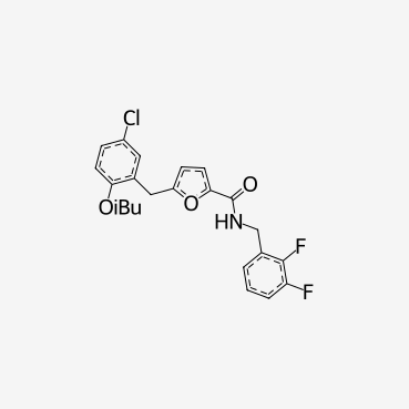 CC(C)COc1ccc(Cl)cc1Cc1ccc(C(=O)NCc2cccc(F)c2F)o1